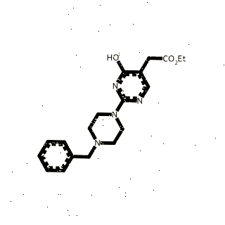 CCOC(=O)Cc1cnc(N2CCN(Cc3ccccc3)CC2)nc1O